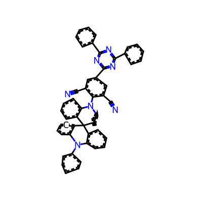 N#Cc1cc(-c2nc(-c3ccccc3)nc(-c3ccccc3)n2)cc(C#N)c1N1c2ccccc2C2(c3ccccc3N(c3ccccc3)c3ccccc32)c2ccccc21